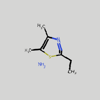 CCc1nc(C)c(C)s1.N